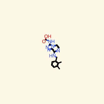 Cc1cccc(CNc2nccn3c(NC(=O)O)nnc23)c1C